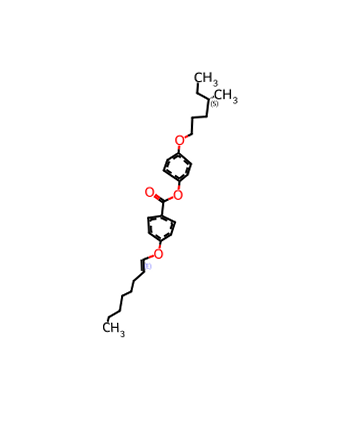 CCCCCC/C=C/Oc1ccc(C(=O)Oc2ccc(OCCC[C@@H](C)CC)cc2)cc1